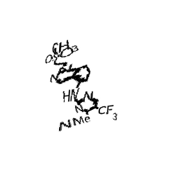 CNc1nc(Nc2cccc3c2cnn3CCS(C)(=O)=O)ncc1C(F)(F)F